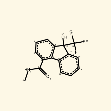 CNC(=O)c1cccc2c1-c1ccccc1C2(O)C(F)(F)F